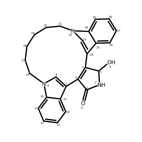 O=C1NC(O)C2=C1c1cn(c3ccccc13)CCCCCCn1cc2c2ccccc21